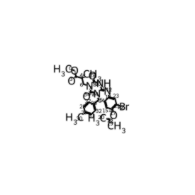 COC(=O)C(C)Cn1c(=O)[nH]c(=Nc2ccc(OC(C)C)c(Br)c2)n(Cc2ccc(C)cc2)c1=O